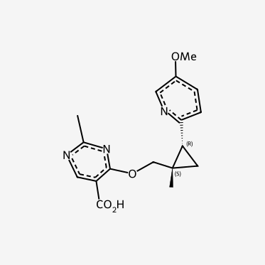 COc1ccc([C@@H]2C[C@]2(C)COc2nc(C)ncc2C(=O)O)nc1